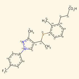 Cc1nn(-c2ccc(C(F)(F)F)cc2)cc1C(C)Sc1cccc(CCC(=O)O)c1C